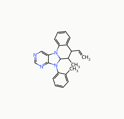 C=CC1c2ccccc2N2c3cncnc3N(c3ccccc3C)C2C1C